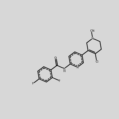 N#CN1CCC(Cl)=C(c2ccc(NC(=O)c3ccc(F)cc3F)nc2)C1